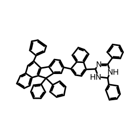 c1ccc(C2=NC(c3ccc(-c4ccc5c(c4)C(c4ccccc4)(c4ccccc4)c4c-5c(-c5ccccc5)cc5ccccc45)c4ccccc34)NC(c3ccccc3)N2)cc1